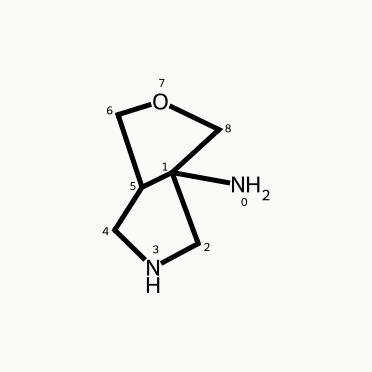 NC12CNCC1COC2